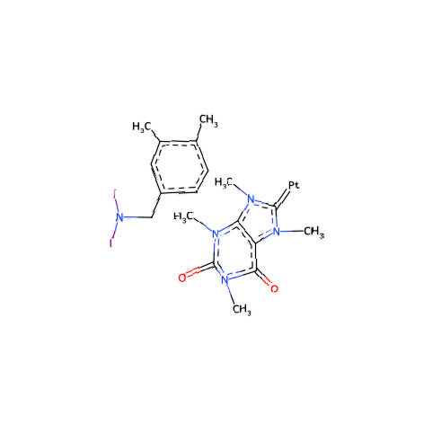 Cc1ccc(CN(I)I)cc1C.Cn1c(=O)c2c(n(C)c1=O)n(C)[c](=[Pt])n2C